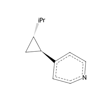 CC(C)[C@H]1C[C@@H]1c1ccncc1